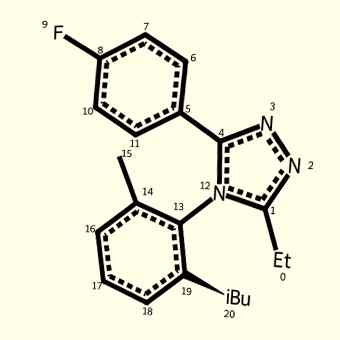 CCc1nnc(-c2ccc(F)cc2)n1-c1c(C)cccc1[C@H](C)CC